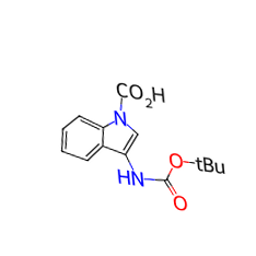 CC(C)(C)OC(=O)Nc1cn(C(=O)O)c2ccccc12